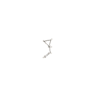 O=CN1CC1